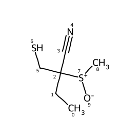 CCC(C#N)(CS)[S+](C)[O-]